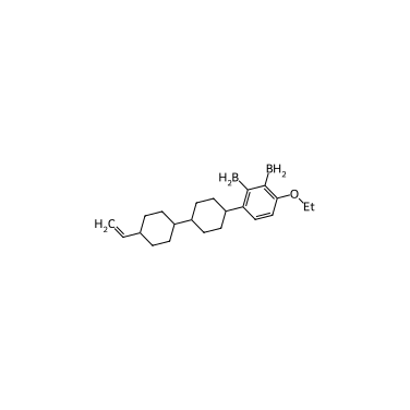 Bc1c(OCC)ccc(C2CCC(C3CCC(C=C)CC3)CC2)c1B